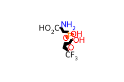 N[C@@H](CCP(=O)(O)C(O)c1ccc(C(F)(F)F)o1)C(=O)O